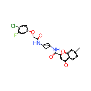 Cc1ccc2c(=O)cc(C(=O)NC34CC(NC(=O)COc5ccc(Cl)c(F)c5)(C3)C4)oc2c1